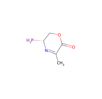 CC1=N[C@H](P)COC1=O